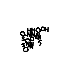 CCC(C)(C)c1cc(NC(=O)NCc2ccccc2Sc2ccc3nnc(-c4ccccc4SC)n3c2)n(-c2cccc(O)c2)n1